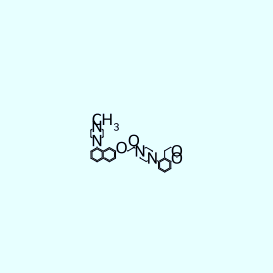 CN1CCN(c2cccc3ccc(OCC(=O)N4CCN(c5cccc6c5CCOO6)CC4)cc23)CC1